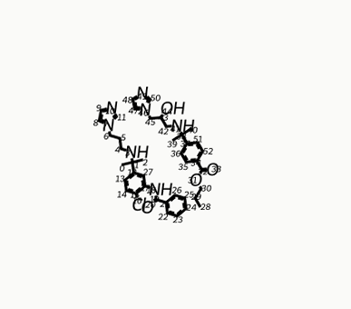 CC(C)(NCCCn1ccnc1)c1ccc(Cl)c(NC(=O)c2ccccc2)c1.CCCOC(=O)c1ccc(C(C)(C)NCC(O)Cn2ccnc2)cc1